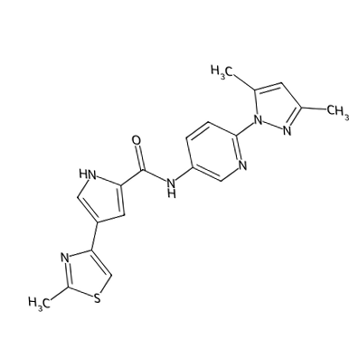 Cc1cc(C)n(-c2ccc(NC(=O)c3cc(-c4csc(C)n4)c[nH]3)cn2)n1